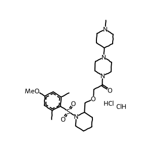 COc1cc(C)c(S(=O)(=O)N2CCCCC2COCC(=O)N2CCN(C3CCN(C)CC3)CC2)c(C)c1.Cl.Cl